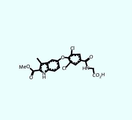 COC(=O)c1[nH]c2ccc(Oc3c(Cl)cc(C(=O)NCC(=O)O)cc3Cl)cc2c1C